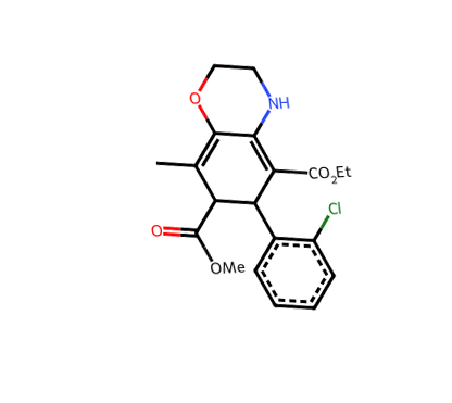 CCOC(=O)C1=C2NCCOC2=C(C)C(C(=O)OC)C1c1ccccc1Cl